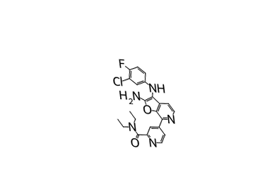 CCN(CC)C(=O)c1cc(-c2nccc3c(Nc4ccc(F)c(Cl)c4)c(N)oc23)ccn1